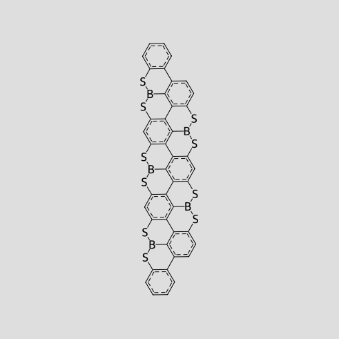 c1ccc2c(c1)SB1Sc3cc4c5c6c3-c3c(ccc-2c31)SB6Sc1cc2c3c(c1-5)B(S4)Sc1cc4c5c(c1-3)B(Sc1ccc3c(c1-5)B(Sc1ccccc1-3)S4)S2